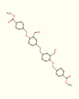 COC(=O)c1ccc(COc2ccc(CCc3ccc(OCc4ccc(C(=O)OC)cc4)c(C=O)c3)cc2C=O)cc1